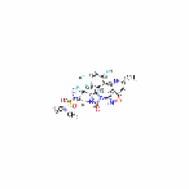 Cc1cc2onc(-n3cc4n(c3=O)C[C@@H](NS(=O)(=O)N(C)C)C4(F)F)c2c(-c2c(F)cc(F)cc2F)n1